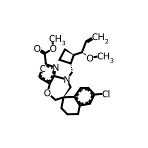 C=C[C@H](OC)[C@@H]1CC[C@H]1CN1C[C@@]2(CCCc3cc(Cl)ccc32)COc2ccc(C(=O)OC)nc21